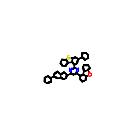 c1ccc(-c2ccc3cc(-c4cc(-c5cccc6oc7ccccc7c56)nc(-c5cc(-c6ccccc6)cc6sc7ccccc7c56)n4)ccc3c2)cc1